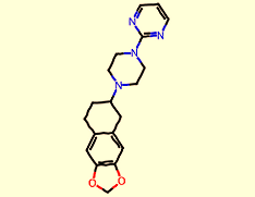 c1cnc(N2CCN(C3CCc4cc5c(cc4C3)OCO5)CC2)nc1